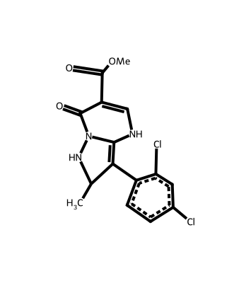 COC(=O)C1=CNC2=C(c3ccc(Cl)cc3Cl)C(C)NN2C1=O